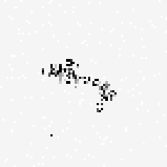 COC(=O)N[C@H](C(=O)N1CCC[C@H]1c1ncc(-c2ccc(-c3ccc(-c4cnc(C5C6CCC(C6)C5C(=O)NCc5ccncc5)[nH]4)cc3)cc2)[nH]1)[C@@H](C)OC